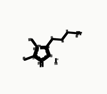 Cc1[nH]cc(CCCC(C)C)[n+]1C.[I-]